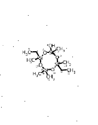 CC[Si]1(C)O[Si](C)(C)O[Si](C)(CC)O[Si](C)(C)O1